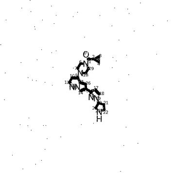 O=C(C1CC1)N1CCN(c2ccnn3cc(-c4ccn(C5CCNC5)n4)cc23)CC1